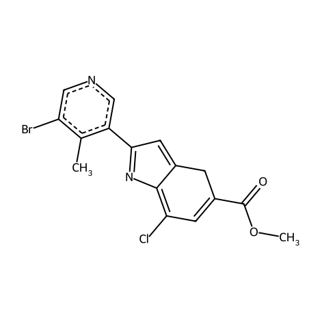 COC(=O)C1=CC(Cl)=C2N=C(c3cncc(Br)c3C)C=C2C1